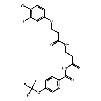 C=C(CCNC(=O)CCOc1ccc(Cl)c(F)c1)NC(=O)c1ccc(OC(F)(F)F)cn1